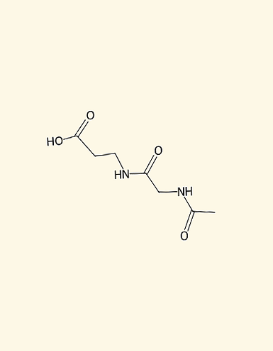 CC(=O)NCC(=O)NCCC(=O)O